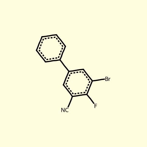 N#Cc1cc(-c2ccccc2)cc(Br)c1F